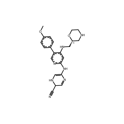 COc1ccc(-c2cnc(NC3=CNC(C#N)C=N3)cc2NC[C@@H]2CNCCO2)cc1